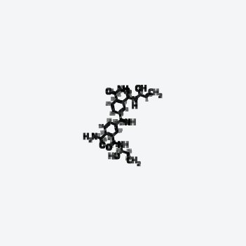 C=CC(O)NC(=O)c1cc(C(=N)c2ccc(C(N)=O)c(C(=O)NC(O)C=C)c2)ccc1C(N)=O